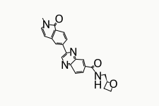 Cn1ccc2cc(-c3cnc4ccc(C(=O)NC[C@@H]5CCO5)cc4n3)ccc2c1=O